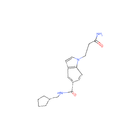 NC(=O)CCn1ccc2cc(C(=O)NCC3CCCC3)ccc21